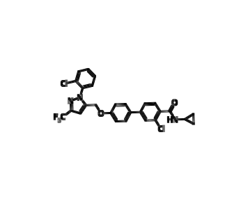 O=C(NC1CC1)c1ccc(-c2ccc(OCc3cc(C(F)(F)F)nn3-c3ccccc3Cl)cc2)cc1Cl